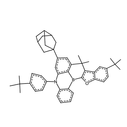 CC(C)(C)c1ccc(N2c3ccccc3B3c4oc5ccc(C(C)(C)C)cc5c4C(C)(C)c4cc(C56CC7CC(C5)C(C7)C6)cc2c43)cc1